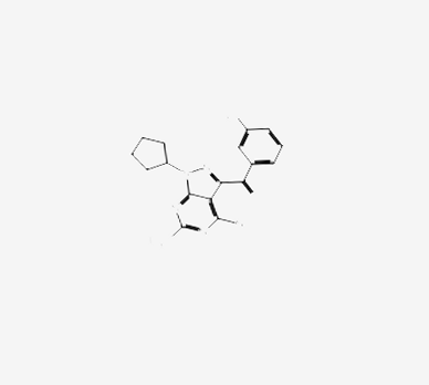 Cc1cccc(C(=O)c2nn(C3CCCC3)c3nc(C)nc(N)c23)c1